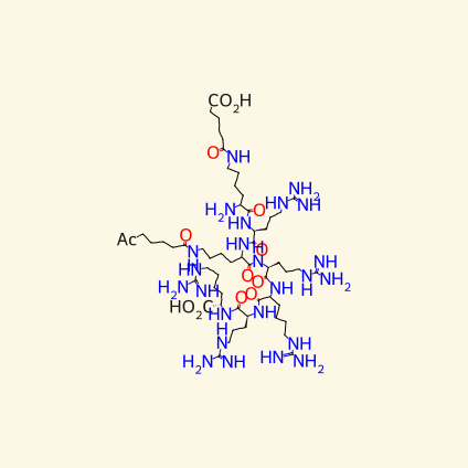 CC(=O)CCCCC(=O)NCCCCC(NC(=O)[C@H](CCCNC(=N)N)NC(=O)C(N)CCCCNC(=O)CCCCC(=O)O)C(=O)N[C@@H](CCCNC(=N)N)C(=O)NC(CCCCNC(=N)N)C(=O)N[C@@H](CCCNC(=N)N)C(=O)N[C@@H](CCCCNC(=N)N)C(=O)O